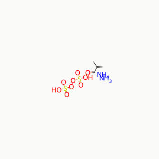 C=C(C)C=O.N.N.O=S(=O)(O)OOS(=O)(=O)O